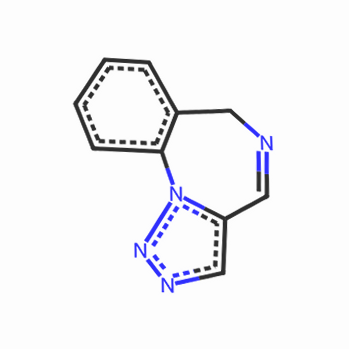 C1=NCc2ccccc2-n2nncc21